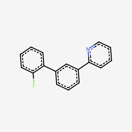 Fc1ccccc1-c1cccc(-c2ccccn2)c1